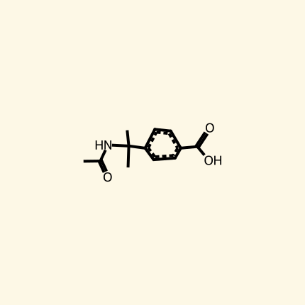 CC(=O)NC(C)(C)c1ccc(C(=O)O)cc1